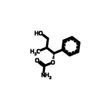 CC(CO)[C@@H](OC(N)=O)c1ccccc1